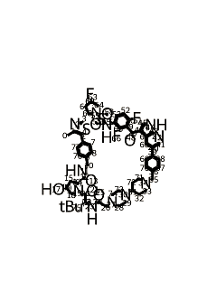 Cc1ncsc1-c1ccc(CNC(=O)[C@@H]2C[C@@H](O)CN2C(=O)[C@@H](NC(=O)CN2CCN(C3CCN(Cc4ccc(-c5cnc6[nH]cc(C(=O)c7c(F)ccc(NS(=O)(=O)N8CC[C@@H](F)C8)c7F)c6c5)cc4)CC3)CC2)C(C)(C)C)cc1